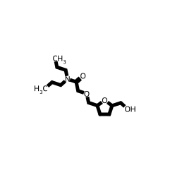 CCCN(CCC)C(=O)COCC1CCC(CO)O1